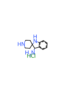 Cl.N[C@@H]1c2ccccc2NC12CCNCC2